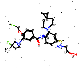 CC1(F)CCN(c2cc(C(=O)Nc3ccc(SNCCO)cc3N3CCC4(CC3)CC4)ccc2OCF)C1